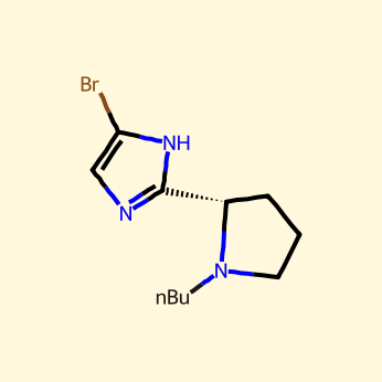 CCCCN1CCC[C@H]1c1ncc(Br)[nH]1